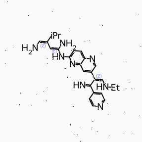 CCN/C=C(\C(=N)c1ccncc1)c1cnc2ccc(N/C(N)=C/C(=C\N)C(C)C)nc2c1